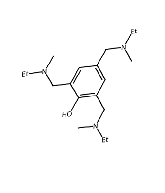 CCN(C)Cc1cc(CN(C)CC)c(O)c(CN(C)CC)c1